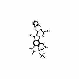 CC(C)N(C)c1cc2c(c(CN(C)C(=O)OC(C)(C)C)n1)CN(C1Cn3nccc3CN1C(=O)O)C2=O